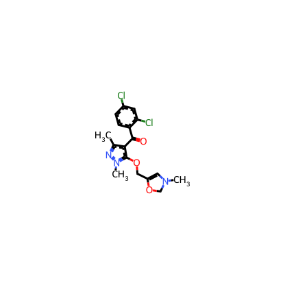 Cc1nn(C)c(OCC2=CN(C)CO2)c1C(=O)c1ccc(Cl)cc1Cl